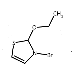 CCOC1SC=CN1Br